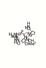 COc1cc(C(=O)N2C[C@H]3CC[C@@H]2C[C@@H]3N)cc2nc(-c3cc4cccc(-c5cn[nH]c5)c4n3CC3CC3(F)F)n(C)c12